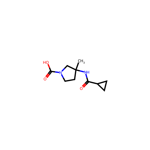 CC1(NC(=O)C2CC2)CCN(C(=O)O)C1